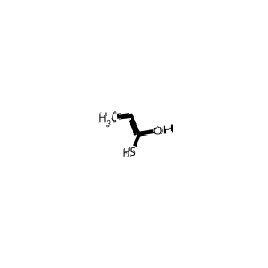 CC=C(O)S